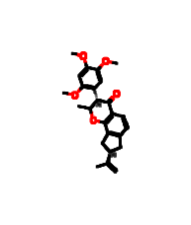 C=C(C)[C@@H]1Cc2ccc3c(c2C1)OC(C)[C@H](c1cc(OC)c(OC)cc1OC)C3=O